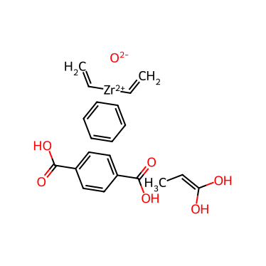 C=[CH][Zr+2][CH]=C.CC=C(O)O.O=C(O)c1ccc(C(=O)O)cc1.[O-2].c1ccccc1